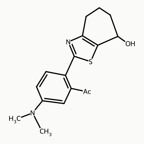 CC(=O)c1cc(N(C)C)ccc1-c1nc2c(s1)C(O)CCC2